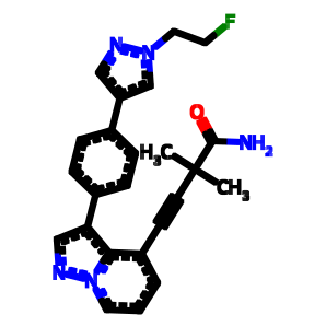 CC(C)(C#Cc1cccn2ncc(-c3ccc(-c4cnn(CCF)c4)cc3)c12)C(N)=O